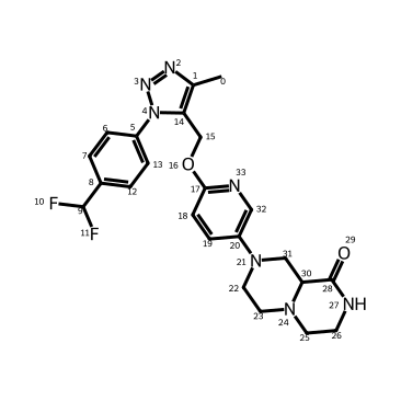 Cc1nnn(-c2ccc(C(F)F)cc2)c1COc1ccc(N2CCN3CCNC(=O)C3C2)cn1